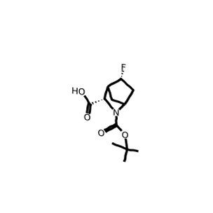 CC(C)(C)OC(=O)N1C2CC([C@H](F)C2)[C@H]1C(=O)O